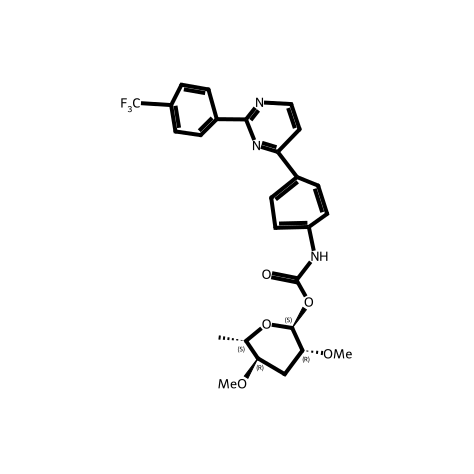 CO[C@@H]1C[C@@H](OC)[C@H](C)O[C@H]1OC(=O)Nc1ccc(-c2ccnc(-c3ccc(C(F)(F)F)cc3)n2)cc1